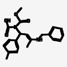 COC(=O)N(C(=O)O)C(C=C(C)NCc1ccccc1)c1ccc(C)cc1